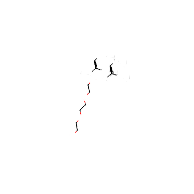 CCCCC(=CC(=O)O)C(=O)O.CCCCC(=CC(=O)O)C(=O)O.OCCOCCOCCO